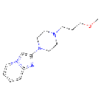 COCCCN1CCN(c2cn3ccccc3n2)CC1